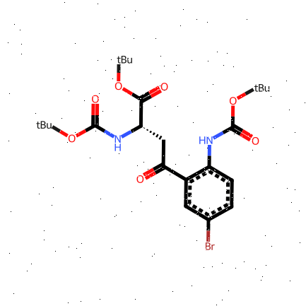 CC(C)(C)OC(=O)Nc1ccc(Br)cc1C(=O)C[C@H](NC(=O)OC(C)(C)C)C(=O)OC(C)(C)C